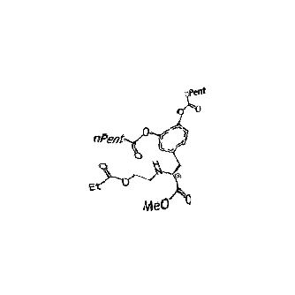 CCCCCC(=O)Oc1ccc(C[C@H](NCCOC(=O)CC)C(=O)OC)cc1OC(=O)CCCCC